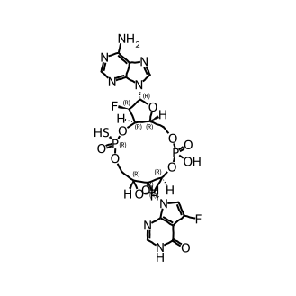 Nc1ncnc2c1ncn2[C@@H]1O[C@@H]2COP(=O)(O)O[C@@H]3[C@H](O)[C@@H](CO[P@@](=O)(S)O[C@H]2[C@H]1F)O[C@H]3n1cc(F)c2c(=O)[nH]cnc21